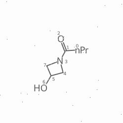 CCCC(=O)N1CC(O)C1